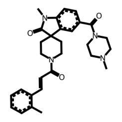 Cc1ccccc1/C=C/C(=O)N1CCC2(CC1)C(=O)N(C)c1ccc(C(=O)N3CCN(C)CC3)cc12